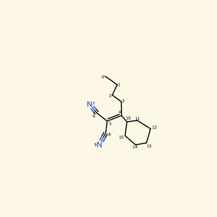 CCCCC(=C(C#N)C#N)C1CCCCC1